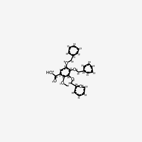 COc1c(C(=O)O)cc(OCc2ccccc2)c(OCc2ccccc2)c1OCc1ccccc1